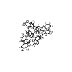 c1ccc2c(c1)-c1ccccc1C21c2ccccc2-c2cccc(-c3ccc4oc5cccc(-c6nc(-c7cccc8c7oc7ccccc78)nc(-c7cccc8oc9ccccc9c78)n6)c5c4c3)c21